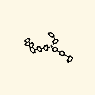 c1ccc(-c2ccc(-c3ccc(N(c4ccc(-c5ccc(-c6cccc7c6ccc6c8ccccc8ccc76)cc5)cc4)c4cccc(-c5ccccc5)c4)cc3)cc2)cc1